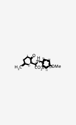 C=C1CCC(=O)[C@H]([C@H](Nc2ccc(OC)cc2)C(=O)OCC)C1